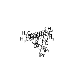 CC(C)CCC(CCOC(=O)CCCC(C)(C)CC(C)(C)CCCC(CCCC(C)(C)CC(C)(C)CCCC(=O)OCCC(CCC(C)C)C(C)C)OC(=O)CCCN(C)C)C(C)C